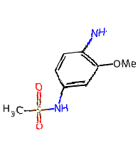 COc1cc(NS(C)(=O)=O)ccc1[NH]